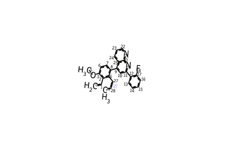 C=Cc1c(OC)ccc(-c2cc(-c3ccccc3F)nc3ncccc23)c1/C=C\C